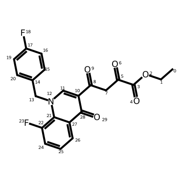 CCOC(=O)C(=O)CC(=O)c1cn(Cc2ccc(F)cc2)c2c(F)cccc2c1=O